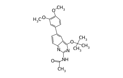 COc1ccc(-c2ccc3nc(NC(C)=O)nc(OC(C)(C)C)c3c2)cc1OC